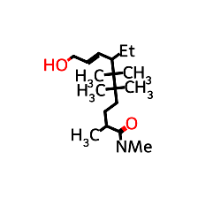 CCC(C=CCO)C(C)(C)C(C)(C)CCC(C)C(=O)NC